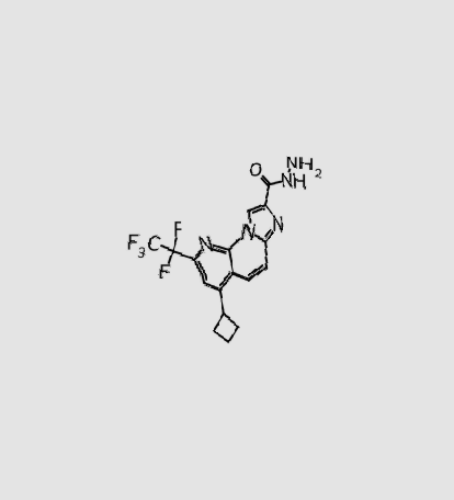 NNC(=O)c1cn2c(ccc3c(C4CCC4)cc(C(F)(F)C(F)(F)F)nc32)n1